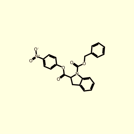 O=C(Oc1ccc([N+](=O)[O-])cc1)C1Cc2ccccc2N1C(=O)OCc1ccccc1